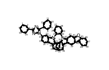 c1ccc(-c2nc(-c3ccccc3)n(-c3ccc4c5ccccc5n(-c5ccccc5-n5c6ccccc6c6cc7c(cc65)oc5ccccc57)c4c3)n2)cc1